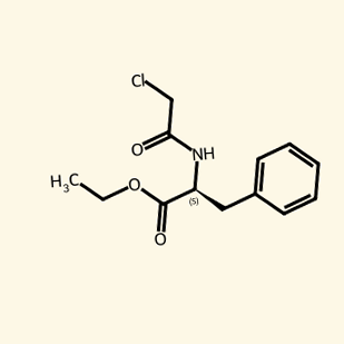 CCOC(=O)[C@H](Cc1ccccc1)NC(=O)CCl